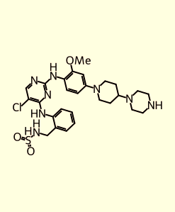 COc1cc(N2CCC(N3CCNCC3)CC2)ccc1Nc1ncc(Cl)c(Nc2ccccc2CN[SH](=O)=O)n1